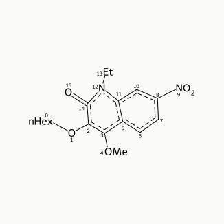 CCCCCCOc1c(OC)c2ccc([N+](=O)[O-])cc2n(CC)c1=O